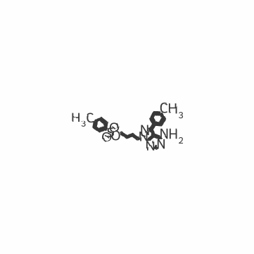 Cc1ccc(C2=NN(CCCCOS(=O)(=O)c3ccc(C)cc3)C3N=CN=C(N)C23)cc1